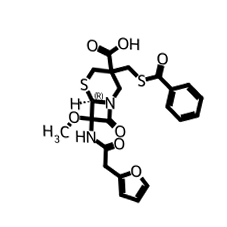 COC1(NC(=O)Cc2ccco2)C(=O)N2CC(CSC(=O)c3ccccc3)(C(=O)O)CS[C@@H]21